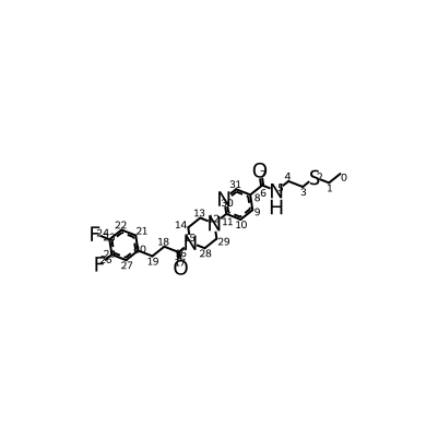 CCSCCNC(=O)c1ccc(N2CCN(C(=O)CCc3ccc(F)c(F)c3)CC2)nc1